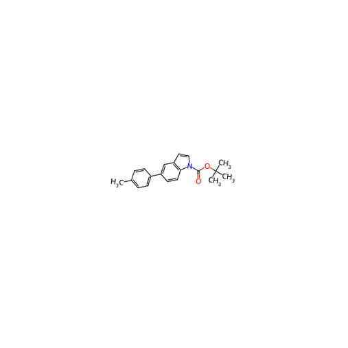 Cc1ccc(-c2ccc3c(ccn3C(=O)OC(C)(C)C)c2)cc1